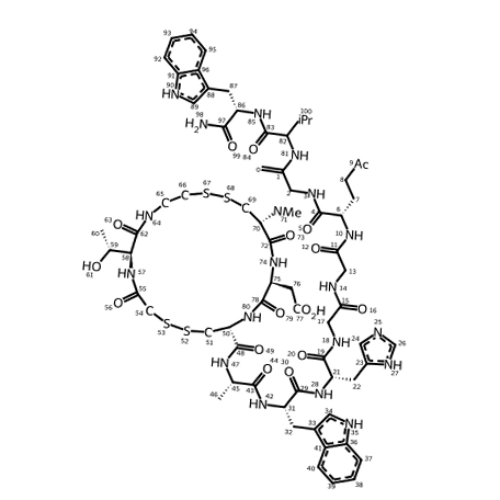 C=C(CNC(=O)[C@H](CCC(C)=O)NC(=O)CNC(=O)CNC(=O)[C@H](Cc1cnc[nH]1)NC(=O)[C@H](Cc1c[nH]c2ccccc12)NC(=O)[C@H](C)NC(=O)[C@@H]1CSSCC(=O)N[C@@H]([C@@H](C)O)C(=O)NCCSSC[C@H](NC)C(=O)N[C@@H](CC(=O)O)C(=O)N1)NC(C(=O)N[C@@H](Cc1c[nH]c2ccccc12)C(N)=O)C(C)C